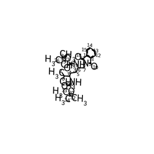 CC(C)C(CCC(CN1C(=O)c2ccccc2C1=O)NC(=O)OC(C)(C)C)NC(=O)OC(C)(C)C